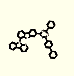 c1ccc(-c2ccc(-c3nc(-c4ccccc4)nc(-c4ccc5c(c4)sc4c(-n6c7ccccc7c7cccnc76)cccc45)n3)cc2)cc1